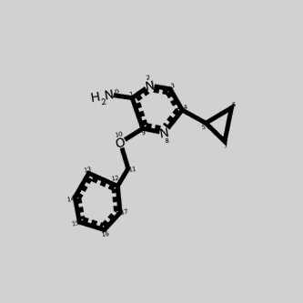 Nc1ncc(C2CC2)nc1OCc1ccccc1